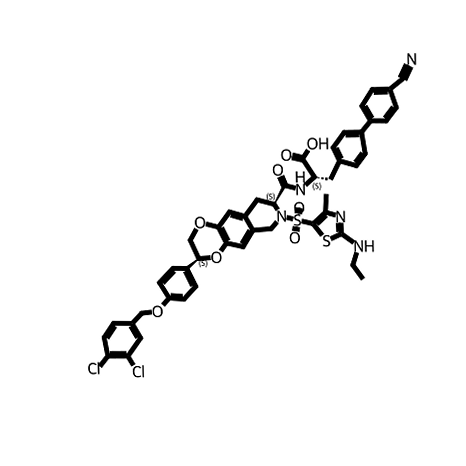 CCNc1nc(C)c(S(=O)(=O)N2Cc3cc4c(cc3C[C@H]2C(=O)N[C@@H](Cc2ccc(-c3ccc(C#N)cc3)cc2)C(=O)O)OC[C@H](c2ccc(OCc3ccc(Cl)c(Cl)c3)cc2)O4)s1